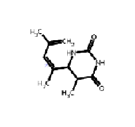 C=C(C)/C=C(/C)C1NC(=O)NC(=O)C1C